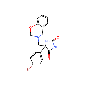 O=C1NC(=O)C(CN2COc3ccccc3C2)(c2ccc(Br)cc2)N1